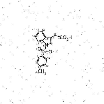 Cc1ccc(S(=O)(=O)n2cc(CC(=O)O)c3ccccc32)cc1